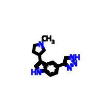 CN1CCC(c2c[nH]c3ccc(-c4c[nH]nn4)cc23)C1